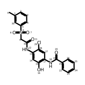 Cc1cccc(S(=O)(=O)CC(=O)Nc2cc(O)c(NC(=O)c3ccccc3)cc2Cl)c1